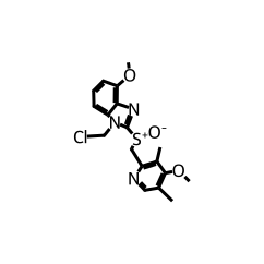 COc1c(C)cnc(C[S+]([O-])c2nc3c(OC)cccc3n2CCl)c1C